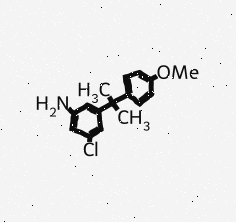 COc1ccc(C(C)(C)c2cc(N)cc(Cl)c2)cc1